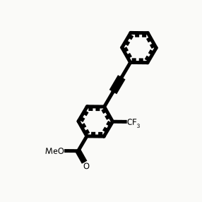 COC(=O)c1ccc(C#Cc2ccccc2)c(C(F)(F)F)c1